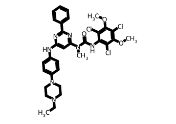 CCN1CCN(c2ccc(Nc3cc(N(C)C(=O)Nc4c(Cl)c(OC)c(Cl)c(OC)c4Cl)nc(-c4ccccc4)n3)cc2)CC1